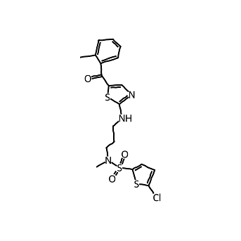 Cc1ccccc1C(=O)c1cnc(NCCCN(C)S(=O)(=O)c2ccc(Cl)s2)s1